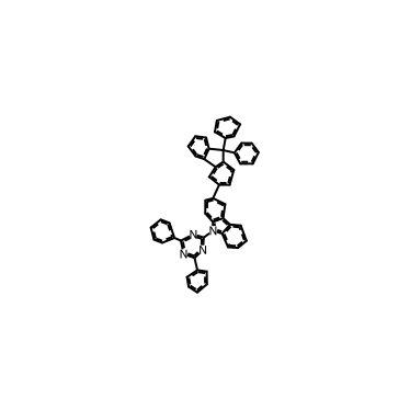 c1ccc(-c2nc(-c3ccccc3)nc(-n3c4ccccc4c4cc(-c5ccc6c(c5)-c5ccccc5C6(c5ccccc5)c5ccccc5)ccc43)n2)cc1